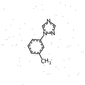 [CH2]c1cccc(-n2cncn2)c1